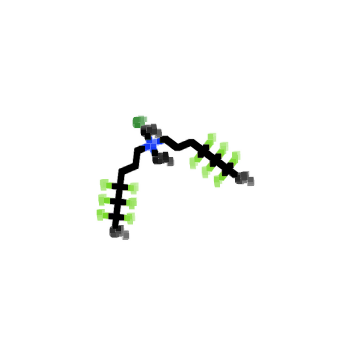 C[N+](C)(CCCC(F)(F)C(F)(F)C(F)(F)C(F)(F)F)CCCC(F)(F)C(F)(F)C(F)(F)C(F)(F)F.[Cl-]